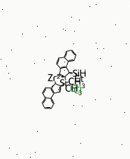 CC[SiH]=C1C2=[C]([Zr+2][CH]3C(=Cc4c3ccc3ccccc43)[Si]2(C)C)c2ccc3ccccc3c21.[Cl-].[Cl-]